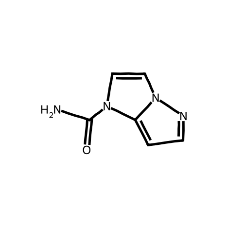 NC(=O)n1ccn2nccc12